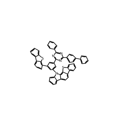 c1ccc(-c2ccc(-c3nc(-c4ccccc4)nc(-c4cc(-c5cccc6c5sc5ccccc56)cc(-n5c6ccccc6c6ccc7c8ccccc8sc7c65)c4)n3)cc2)cc1